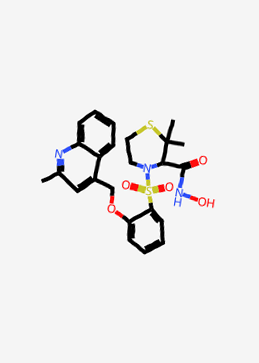 Cc1cc(COc2ccccc2S(=O)(=O)N2CCSC(C)(C)C2C(=O)NO)c2ccccc2n1